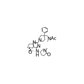 CC(=O)N(C)CC1(c2ccccc2)CCN(c2nc3c(c(N[C@H]4CCC(=O)N(C)C4)n2)[S+]([O-])CC3)CC1